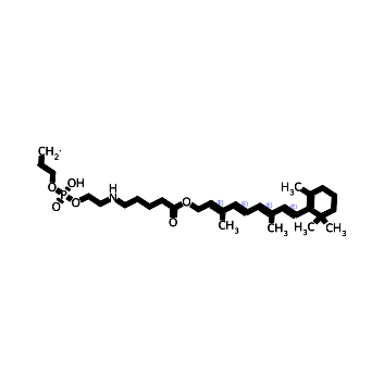 [CH2][CH]COP(=O)(O)OCCNCCCCC(=O)OC/C=C(C)/C=C/C=C(C)/C=C/C1=C(C)CCCC1(C)C